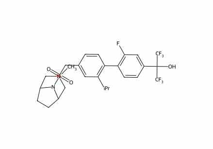 CC(C)c1cc(CN2CC3CCC(C2)N3S(C)(=O)=O)ccc1-c1ccc(C(O)(C(F)(F)F)C(F)(F)F)cc1F